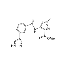 COC(=O)c1nn(C)cc1NC(=O)c1cccc(-c2cn[nH]c2)c1